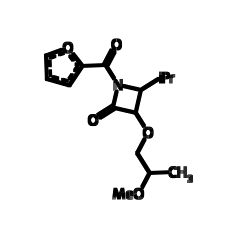 COC(C)COC1C(=O)N(C(=O)c2ccco2)C1C(C)C